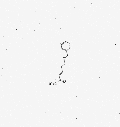 COC(=O)/C=C/CCOCc1ccccc1